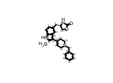 O.O=C1N[C@H](Cc2ccc3[nH]cc(C4=CCN(Cc5ccccc5)CC4)c3c2)CO1